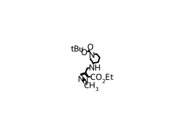 CCOC(=O)c1c(CNC2CCCN(C(=O)OC(C)(C)C)C2)cnn1C